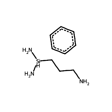 NCCC[SiH](N)N.c1ccccc1